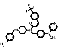 Cc1ccc(CN2CCC(N(Cc3ccc(N(C)c4ccncc4)cc3)C(=O)C=Cc3ccc(C(F)(F)F)cc3)CC2)cc1